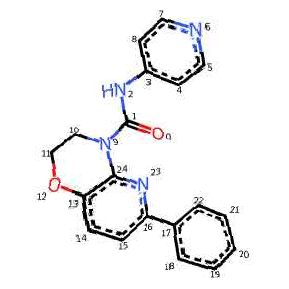 O=C(Nc1ccncc1)N1CCOc2ccc(-c3ccccc3)nc21